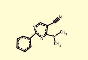 CN(C)c1nc(-c2ccccc2)ncc1C#N